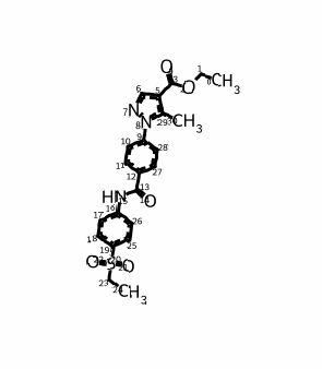 CCOC(=O)c1cnn(-c2ccc(C(=O)Nc3ccc(S(=O)(=O)CC)cc3)cc2)c1C